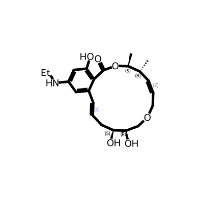 CCNc1cc(O)c2c(c1)/C=C/C[C@H](O)[C@H](O)COC/C=C\[C@@H](C)[C@H](C)OC2=O